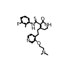 Cc1c(F)cccc1NC(=S)C1=C(CCc2ccncc2OCCN(C)C)CCNC1=O